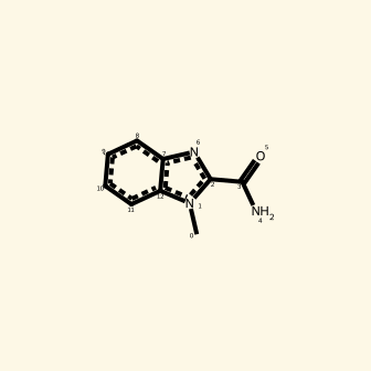 Cn1c(C(N)=O)nc2c[c]ccc21